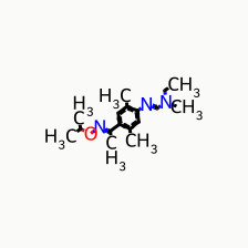 CCN(C)/C=N/c1cc(C)c(/C(C)=N/OC(C)C)cc1C